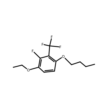 CCCCOc1ccc(OCC)c(F)c1C(F)(F)F